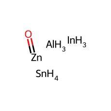 [AlH3].[InH3].[O]=[Zn].[SnH4]